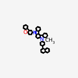 CC1CC=Cc2c1n(-c1ccc(-c3cccc4ccccc34)cc1)c1ccc3c(c4ccccc4n3-c3ccc4oc5ccccc5c4c3)c21